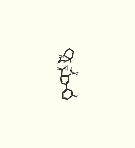 CC1([C@H](NC(=O)c2ccc(-c3cccc(F)c3)cc2[N+](=O)[O-])C(=O)O)CCCCC1